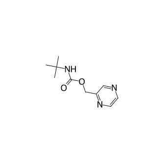 CC(C)(C)NC(=O)OCc1cnccn1